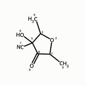 CC1OC(C)C(O)(C#N)C1=O